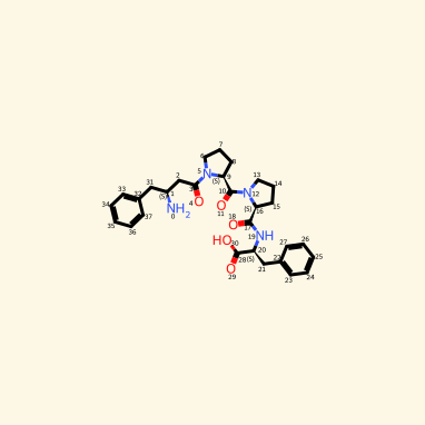 N[C@H](CC(=O)N1CCC[C@H]1C(=O)N1CCC[C@H]1C(=O)N[C@@H](Cc1ccccc1)C(=O)O)Cc1ccccc1